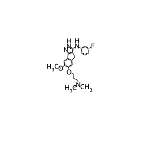 COc1cc2c(cc1OCCCN(C)C)Cc1c-2n[nH]c1Nc1cccc(F)c1